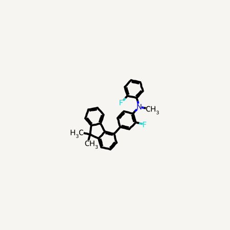 CN(c1ccccc1F)c1ccc(-c2cccc3c2-c2ccccc2C3(C)C)cc1F